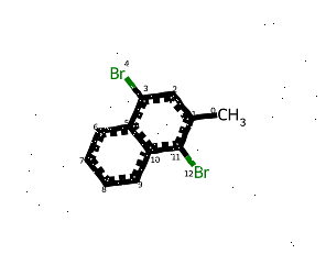 Cc1cc(Br)c2ccccc2c1Br